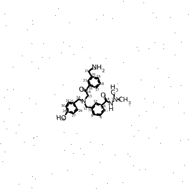 CN(C)NC(=O)c1cccc(CN(CC(=O)c2cccc([CH]N)c2)Cc2ccc(O)cc2)c1